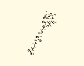 CC(=O)OC(CO)C(OC(C)=O)C(O)C(OC(C)=O)C(=O)COCCOCCNC(=O)COCCOCC(=O)O